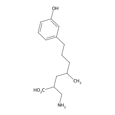 CC(CCCc1cccc(O)c1)CC(CN)C(=O)O